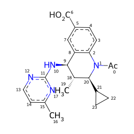 CC(=O)N1c2ccc(C(=O)O)cc2[C@H](Nc2nccc(C)n2)[C@@H](C)[C@@H]1C1CC1